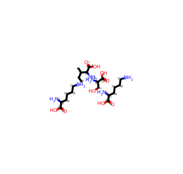 CCC(C)C(N)C(=O)O.NC(CO)C(=O)O.NCCCCC(N)C(=O)O.NCCCCC(N)C(=O)O